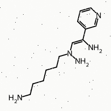 NCCCCCCN(N)/C=C(\N)c1cccnc1